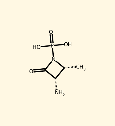 C[C@@H]1[C@H](N)C(=O)N1P(=O)(O)O